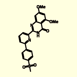 COc1cc(OC)c2c(=O)[nH]c(-c3cccc(-c4ccc(S(C)(=O)=O)cc4)n3)nc2c1